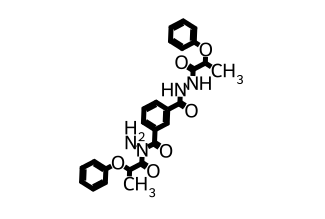 CC(Oc1ccccc1)C(=O)NNC(=O)c1cccc(C(=O)N(N)C(=O)C(C)Oc2ccccc2)c1